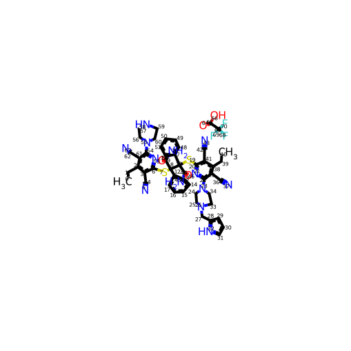 CCc1c(C#N)c(SC(C(N)=O)(c2ccccc2)C(Sc2nc(N3CCN(Cc4ccc[nH]4)CC3)c(C#N)c(CC)c2C#N)(C(N)=O)c2ccccc2)nc(N2CCNCC2)c1C#N.O=C(O)C(F)(F)F